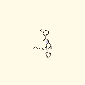 CCCCOc1c/c(=N\C(=O)c2cccc(OC)c2)cnn1-c1ccccc1